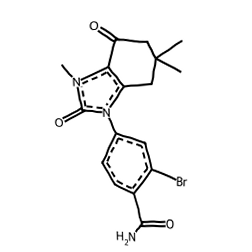 Cn1c2c(n(-c3ccc(C(N)=O)c(Br)c3)c1=O)CC(C)(C)CC2=O